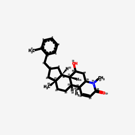 Cc1ccccc1CC1C[C@H]2[C@@H]3C(O)CC4N(C)C(=O)C=C[C@]4(C)[C@@H]3CC[C@]2(C)C1